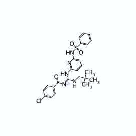 CC(C)(C)CN/C(=N/C(=O)c1ccc(Cl)cc1)Nc1cccc(NS(=O)(=O)c2ccccc2)n1